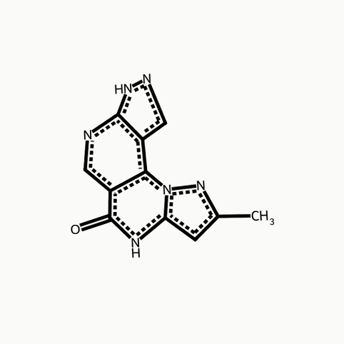 Cc1cc2[nH]c(=O)c3cnc4[nH]ncc4c3n2n1